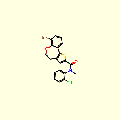 CN(C(=O)c1cc2c(s1)-c1cccc(Br)c1OCC2)c1ccccc1Cl